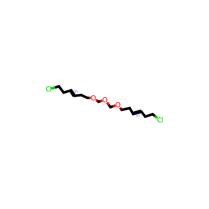 ClCC/C=C/CCOCOCOCC/C=C/CCCl